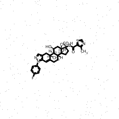 Cc1ncsc1C(=O)O[C@]1(C(=O)O)CC[C@H]2[C@@H]3CCC4=Cc5c(cnn5-c5ccc(F)cc5)C[C@]4(C)[C@H]3[C@@H](O)C[C@@]21C